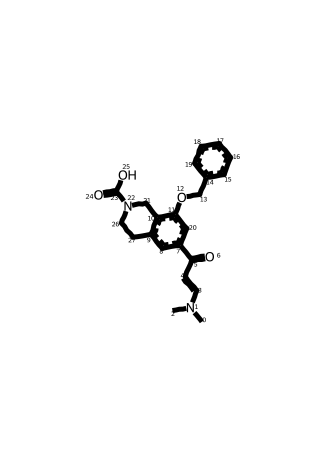 CN(C)C=CC(=O)c1cc2c(c(OCc3ccccc3)c1)CN(C(=O)O)CC2